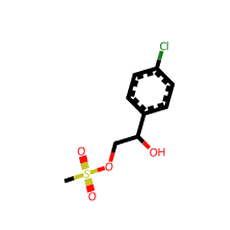 CS(=O)(=O)OCC(O)c1ccc(Cl)cc1